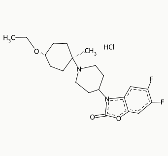 CCO[C@H]1CC[C@](C)(N2CCC(n3c(=O)oc4cc(F)c(F)cc43)CC2)CC1.Cl